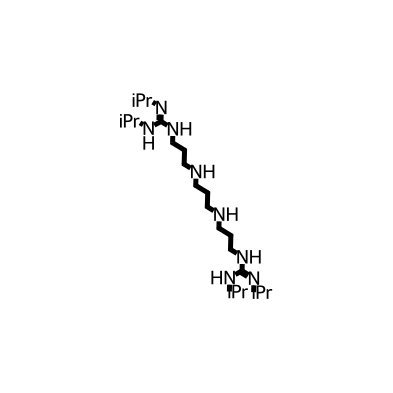 CC(C)/N=C(/NCCCNCCCNCCCN/C(=N/C(C)C)NC(C)C)NC(C)C